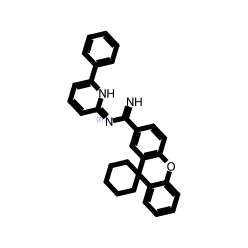 N=C(/N=c1/cccc(-c2ccccc2)[nH]1)c1ccc2c(c1)C1(CCCCC1)c1ccccc1O2